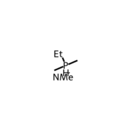 CC[PH](C)(C)NC